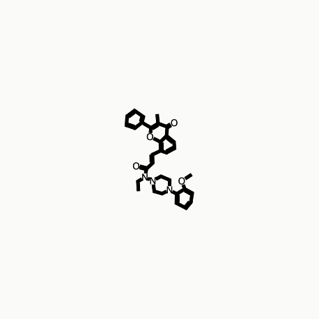 CCN(C(=O)C=Cc1cccc2c(=O)c(C)c(-c3ccccc3)oc12)N1CCN(c2ccccc2OC)CC1